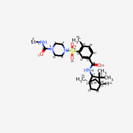 CCNC(=O)N1CCN(S(=O)(=O)c2cc(C(=O)NC3C(C)(C)[C@@H]4CC[C@]3(C)C4)ccc2C)CC1